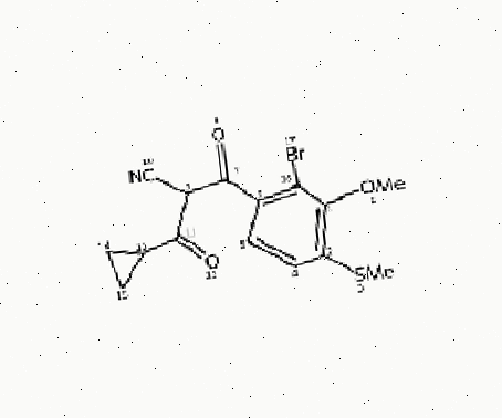 COc1c(SC)ccc(C(=O)C(C#N)C(=O)C2CC2)c1Br